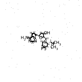 CN(C)C[C@@H]1CC(F)(F)CCN1C[C@H]1O[C@@H](c2ccc3c(N)ncnn23)C[C@@H]1O